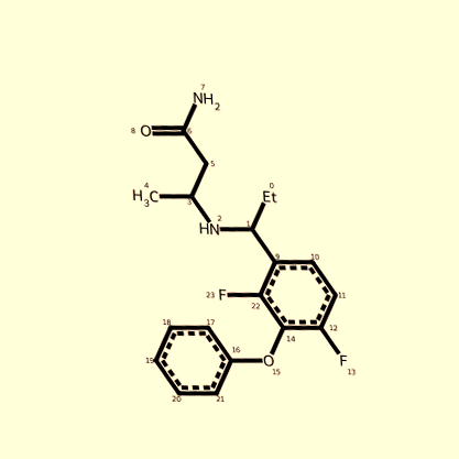 CCC(NC(C)CC(N)=O)c1ccc(F)c(Oc2ccccc2)c1F